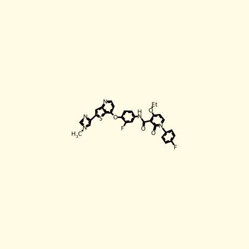 CCOc1ccn(-c2ccc(F)cc2)c(=O)c1C(=O)Nc1ccc(Oc2ccnc3cc(-c4cn(C)cn4)sc23)c(F)c1